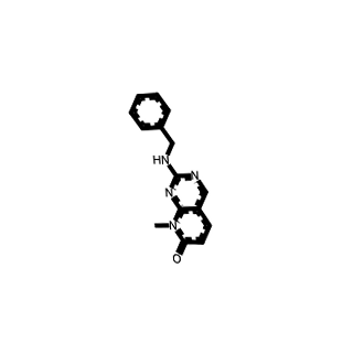 Cn1c(=O)ccc2cnc(NCc3ccccc3)nc21